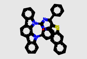 c1ccc(-c2nc(-n3c4ccccc4c4ccc5c6ccccc6n(-c6ccccc6)c5c43)nc3c2sc2cc4ccccc4cc23)cc1